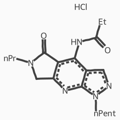 CCCCCn1ncc2c(NC(=O)CC)c3c(nc21)CN(CCC)C3=O.Cl